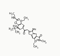 CCNC(=O)Oc1c(OCC)cc(C(=O)CN2Cc3cc(OCC)c(C(=O)NC)cc3C2=N)cc1C(C)(C)C